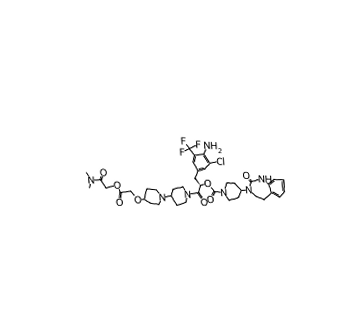 CN(C)C(=O)COC(=O)COC1CCN(C2CCN(C(=O)[C@@H](Cc3cc(Cl)c(N)c(C(F)(F)F)c3)OC(=O)N3CCC(N4CCc5ccccc5NC4=O)CC3)CC2)CC1